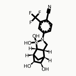 N#Cc1ccc(N2C[C@@H]3[C@H]4C[C@H]([C@H](O)[C@@H]4O)[C@@H]3S2(O)O)cc1C(F)(F)F